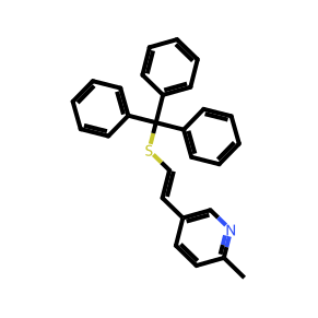 Cc1ccc(C=CSC(c2ccccc2)(c2ccccc2)c2ccccc2)cn1